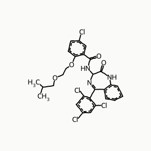 CC(C)COCCOc1ccc(Cl)cc1C(=O)NC1N=C(c2c(Cl)cc(Cl)cc2Cl)c2ccccc2NC1=O